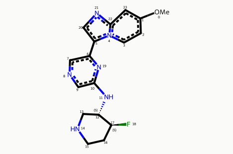 COc1ccn2c(-c3cncc(N[C@H]4CNCC[C@@H]4F)n3)cnc2c1